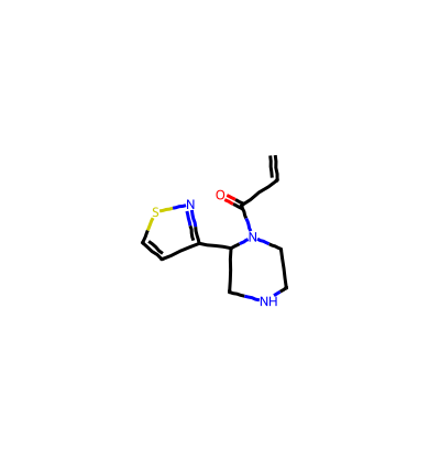 C=CC(=O)N1CCNCC1c1ccsn1